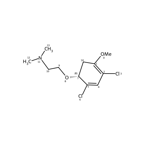 COC1=C(Cl)C=C(Cl)[C@H](OCCN(C)C)C1